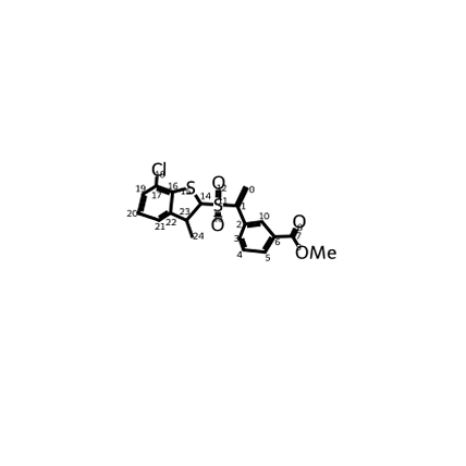 C=C(c1cccc(C(=O)OC)c1)S(=O)(=O)C1Sc2c(Cl)cccc2C1C